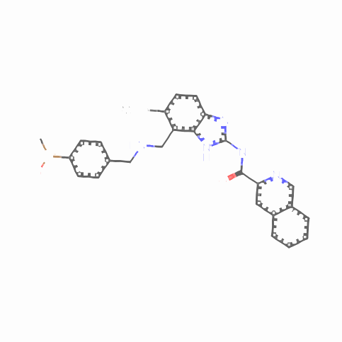 COc1ccc2nc(NC(=O)c3cc4ccccc4cn3)[nH]c2c1CNCc1ccc([S+](C)[O-])cc1